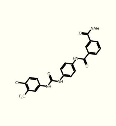 CNC(=O)c1cccc(C(=O)Nc2ccc(NC(=O)Nc3ccc(Cl)c(C(F)(F)F)c3)cc2)c1